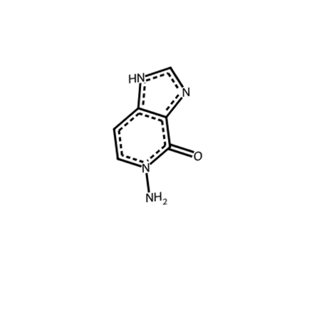 Nn1ccc2[nH]cnc2c1=O